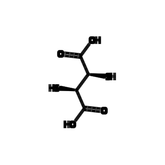 O=C(O)[C@@H](S)[C@H](S)C(=O)O